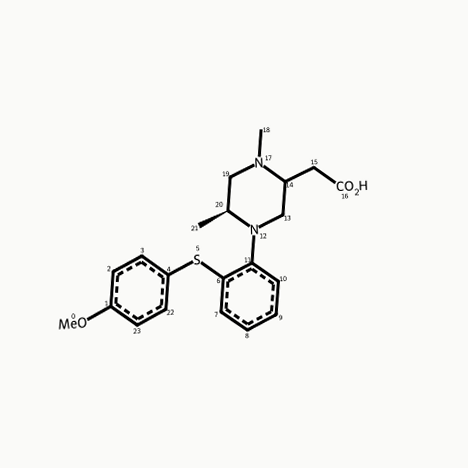 COc1ccc(Sc2ccccc2N2CC(CC(=O)O)N(C)C[C@@H]2C)cc1